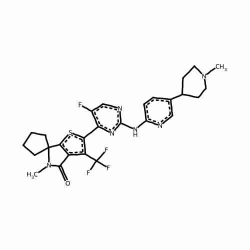 CN1CCC(c2ccc(Nc3ncc(F)c(-c4sc5c(c4C(F)(F)F)C(=O)N(C)C54CCCC4)n3)nc2)CC1